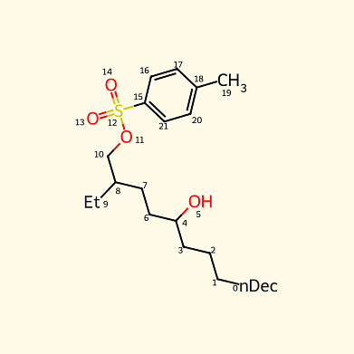 CCCCCCCCCCCCCC(O)CCC(CC)COS(=O)(=O)c1ccc(C)cc1